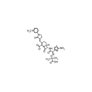 C[n+]1cccc(N2CC/C(=C\C3=C(C(=O)[O-])N4C(=O)[C@@H](NC(=O)/C(=N\OC(C)(C)C(=O)O)c5csc(N)n5)[C@H]4CC3)C2=O)c1